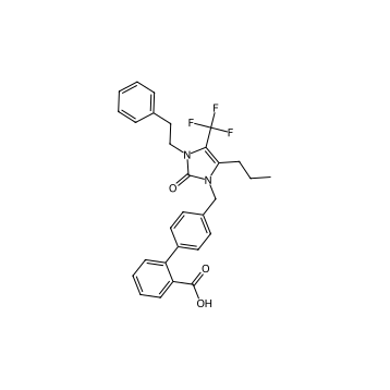 CCCc1c(C(F)(F)F)n(CCc2ccccc2)c(=O)n1Cc1ccc(-c2ccccc2C(=O)O)cc1